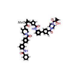 COC1(C(=O)CC2=CCN(C(=O)c3ccc(-c4cccc(NC(=O)C5CCCCC5)c4)cc3)CCC2C)CC1C1CCC(C(=O)Nc2cccc(C3=CC(C)C(C(=O)N4CCN(C(=O)C5(O)CC5)CC4)C=C3)c2)C1